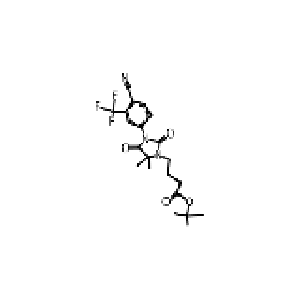 CC(C)(C)OC(=O)CCCN1C(=O)N(c2ccc(C#N)c(C(F)(F)F)c2)C(=O)C1(C)C